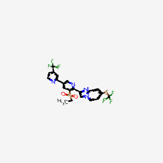 CCS(=O)(=O)c1cc(-c2cc(C(F)(F)F)ccn2)cnc1-c1cn2ccc(SC(F)(F)F)cc2n1